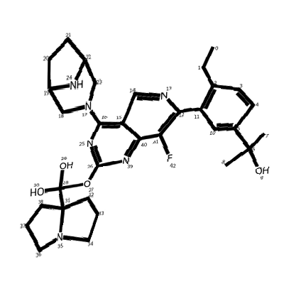 CCc1ccc(C(C)(C)O)cc1-c1ncc2c(N3CC4CCC(C3)N4)nc(OC(O)(O)C34CCCN3CCC4)nc2c1F